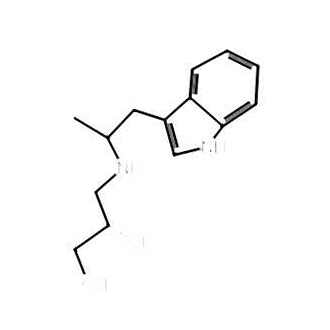 CC(Cc1c[nH]c2ccccc12)NC[C@H](O)CO